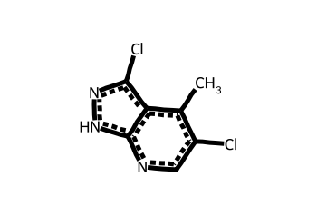 Cc1c(Cl)cnc2[nH]nc(Cl)c12